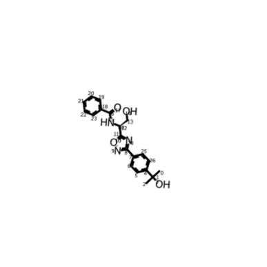 CC(C)(O)c1ccc(-c2noc([C@H](CO)NC(=O)c3ccccc3)n2)cc1